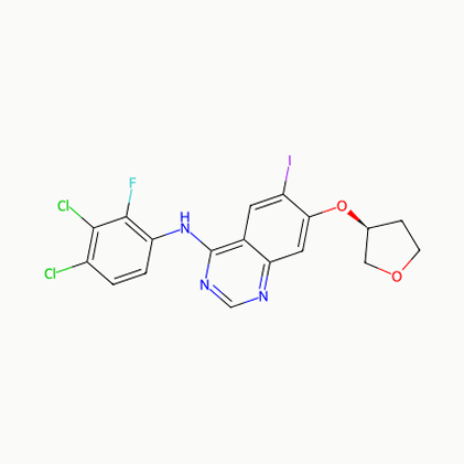 Fc1c(Nc2ncnc3cc(O[C@H]4CCOC4)c(I)cc23)ccc(Cl)c1Cl